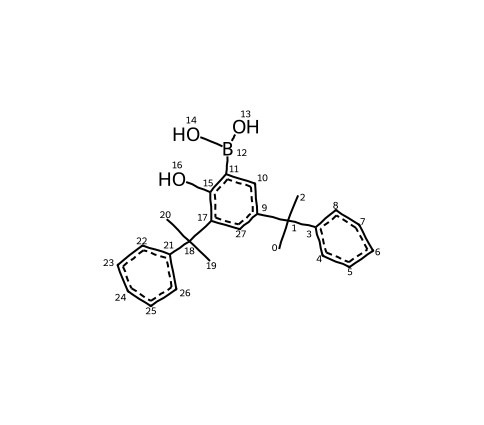 CC(C)(c1ccccc1)c1cc(B(O)O)c(O)c(C(C)(C)c2ccccc2)c1